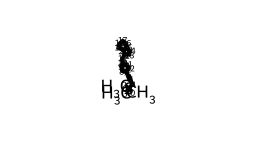 CS(C)(C)CC#Cc1ccc(CC2C=Cc3ccccc32)cc1